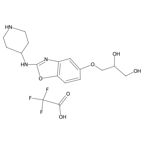 O=C(O)C(F)(F)F.OCC(O)COc1ccc2oc(NC3CCNCC3)nc2c1